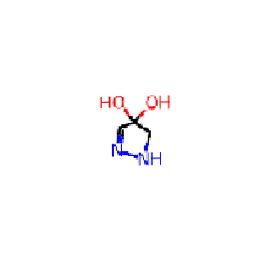 OC1(O)C=NNC1